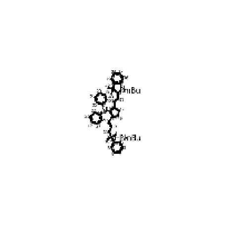 CCCCNc1ccccc1C(C)(C)C/C=C/C1=C(N(c2ccccc2)c2ccccc2)C(=C/C=C2/N(CCCC)c3ccccc3C2(C)C)/CC1